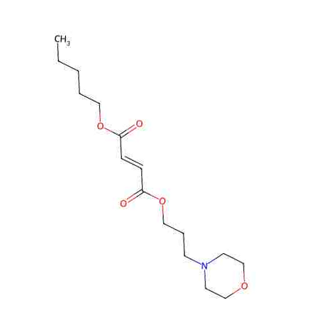 CCCCCOC(=O)C=CC(=O)OCCCN1CCOCC1